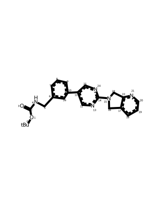 CC(C)(C)OC(=O)NCc1cccc(-c2cnc(N3Cc4cccnc4C3)nc2)c1